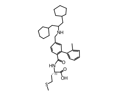 CSCC[C@H](NC(=O)c1ccc(CNC(CC2CCCCC2)CC2CCCCC2)cc1-c1ccccc1C)C(=O)O